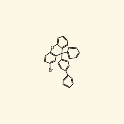 Brc1ccc2c(c1)C(c1ccccc1)(c1ccc(-c3ccccc3)cc1)c1ccccc1O2